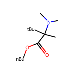 CCCCOC(=O)C(C)(N(C)C)C(C)(C)C